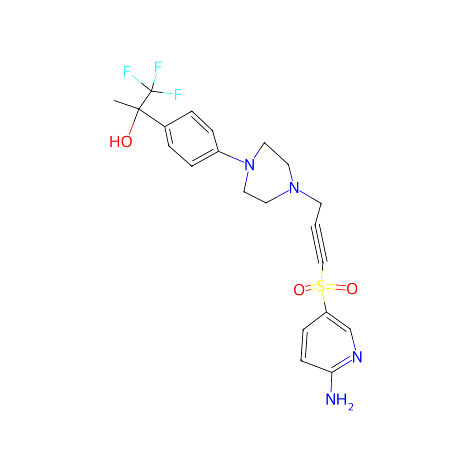 CC(O)(c1ccc(N2CCN(CC#CS(=O)(=O)c3ccc(N)nc3)CC2)cc1)C(F)(F)F